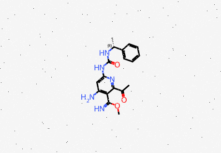 COC(=N)c1c(N)cc(NC(=O)N[C@H](C)c2ccccc2)nc1C(C)=O